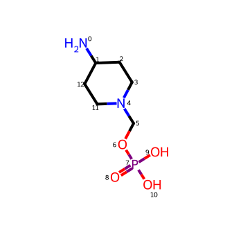 NC1CCN(COP(=O)(O)O)CC1